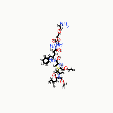 CCCO[C@H](CC(C(C)C)N(COCC)C(=O)C[C@@H](C)CC)c1nc(C(=O)N[C@@H](Cc2ccccc2)C[C@H](C)C(=O)NNC(=O)OCCOCCN)cs1